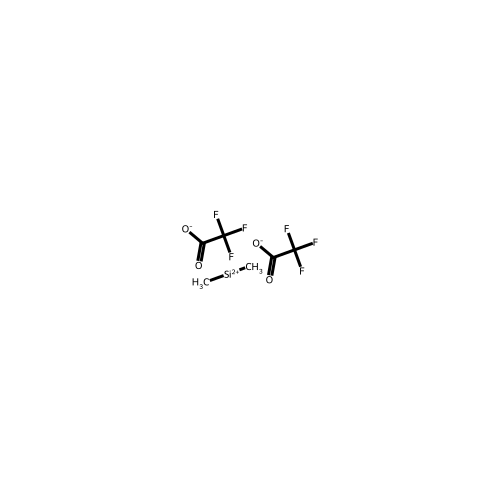 C[Si+2]C.O=C([O-])C(F)(F)F.O=C([O-])C(F)(F)F